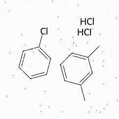 Cc1cccc(C)c1.Cl.Cl.Clc1ccccc1